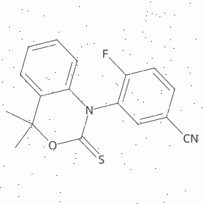 CC1(C)OC(=S)N(c2cc(C#N)ccc2F)c2ccccc21